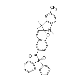 CN1c2ccc(C(F)(F)F)cc2C(C)(C)C12C=Cc1cc(C(=O)P(=O)(c3ccccc3)c3ccccc3)ccc1O2